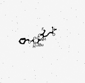 CC[C@H](C)[C@H](NC(=O)OCc1ccccc1)C(=O)NC(CCC(=O)N(C)C)C(=O)CF